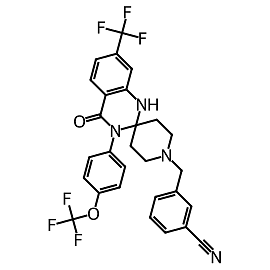 N#Cc1cccc(CN2CCC3(CC2)Nc2cc(C(F)(F)F)ccc2C(=O)N3c2ccc(OC(F)(F)F)cc2)c1